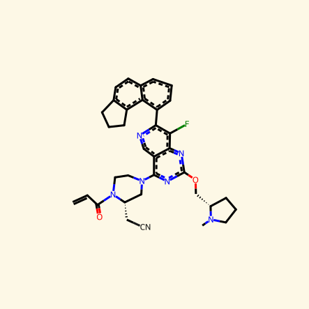 C=CC(=O)N1CCN(c2nc(OC[C@@H]3CCCN3C)nc3c(F)c(-c4cccc5ccc6c(c45)CCC6)ncc23)C[C@@H]1CC#N